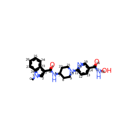 Cn1cc(C(=O)NC2CCN(c3ccc(C(=O)NO)cn3)CC2)c2ccccc21